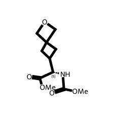 COC(=O)N[C@H](C(=O)OC)C1CC2(COC2)C1